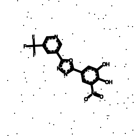 O=[N+]([O-])c1cc(-c2nnc(-c3cncc(C(F)(F)F)c3)o2)cc(O)c1O